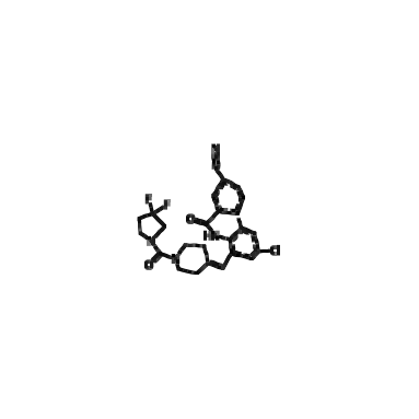 Cc1cc(Cl)cc(C=C2CCN(C(=O)N3CCC(F)(F)C3)CC2)c1NC(=O)c1cccc(C#N)c1